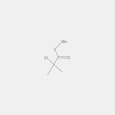 CCC(C)(C)C(=O)SC(C)(C)C